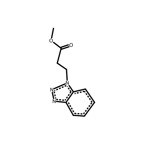 COC(=O)CCn1nnc2ccccc21